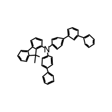 CC1(C)c2ccccc2-c2cccc(N(c3ccc(-c4ccccc4)cc3)c3ccc(-c4cccc(-c5ccccc5)c4)cc3)c21